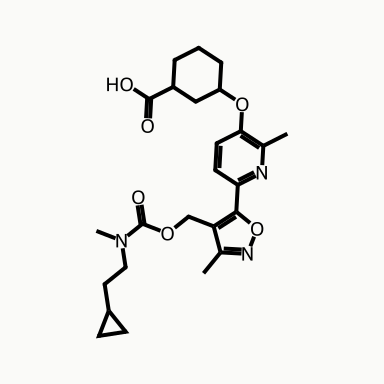 Cc1nc(-c2onc(C)c2COC(=O)N(C)CCC2CC2)ccc1OC1CCCC(C(=O)O)C1